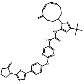 C=C1/C=C\C=C/CCC(n2nc(C(C)(C)C)cc2NC(=O)Nc2cnc(Oc3ccc(-c4cnc(N5CCCC5=O)s4)cc3)nc2)CC1